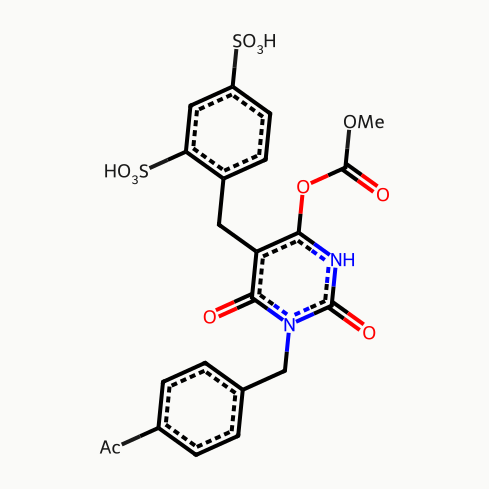 COC(=O)Oc1[nH]c(=O)n(Cc2ccc(C(C)=O)cc2)c(=O)c1Cc1ccc(S(=O)(=O)O)cc1S(=O)(=O)O